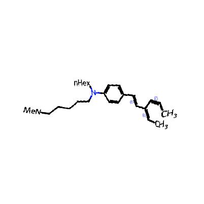 C\C=C/C(/C=C/c1ccc(N(CCCCCC)CCCCCNC)cc1)=C\C